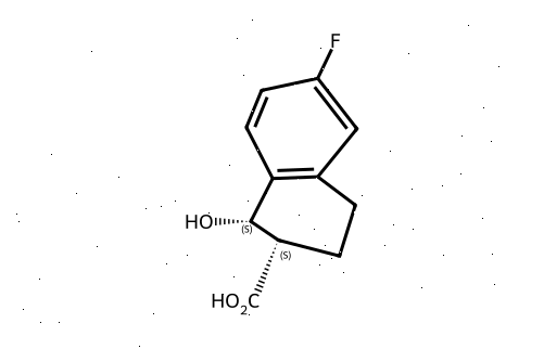 O=C(O)[C@H]1CCc2cc(F)ccc2[C@H]1O